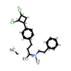 CC#N.CCC(CCc1ccc(C2CC(Cl)C2Cl)cc1)N(CC)CCc1ccccc1